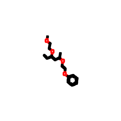 CCC(CC(C)OCCOc1ccccc1)OCCOC